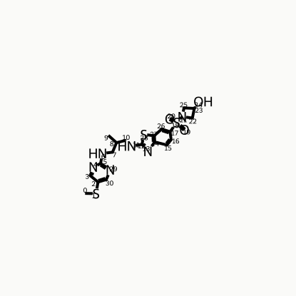 CSc1cnc(NCC(C)CNc2nc3ccc(S(=O)(=O)N4CC(O)C4)cc3s2)nc1